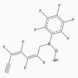 C#C/C(F)=C(F)\C(F)=C(\F)CB(OCCC)c1c(F)c(F)c(F)c(F)c1F